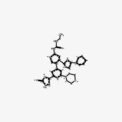 CCNC(=O)Nc1cc(-c2nc(-c3ccccc3)cs2)c(-c2cc(-c3n[nH]c(=O)o3)nc(N3CCOCC3)c2)cn1